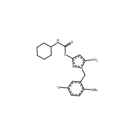 Cc1cc(OC(=O)NC2CCCCC2)nn1Cc1cc(Cl)ccc1OCC(C)C